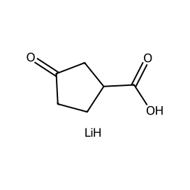 O=C1CCC(C(=O)O)C1.[LiH]